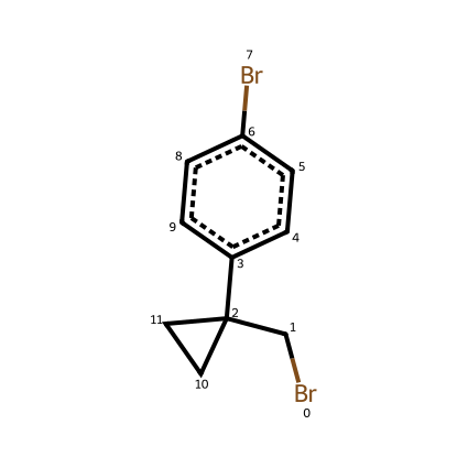 BrCC1(c2ccc(Br)cc2)CC1